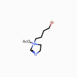 CC(=O)O[N+]1(CCCCBr)C=NCC1